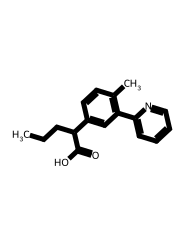 CCCC(C(=O)O)c1ccc(C)c(-c2ccccn2)c1